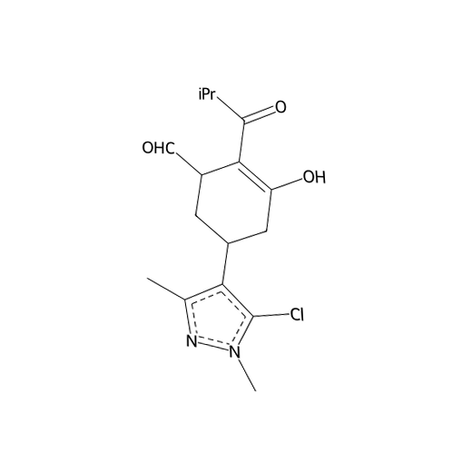 Cc1nn(C)c(Cl)c1C1CC(O)=C(C(=O)C(C)C)C(C=O)C1